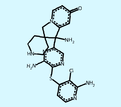 Nc1nc(C2(N)c3cc(=O)ccn3CC23CCNCC3)cnc1Sc1ccnc(N)c1Cl